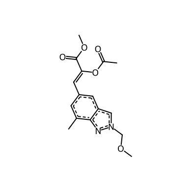 COCn1cc2cc(C=C(OC(C)=O)C(=O)OC)cc(C)c2n1